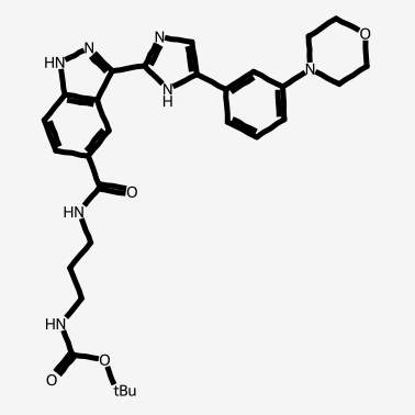 CC(C)(C)OC(=O)NCCCNC(=O)c1ccc2[nH]nc(-c3ncc(-c4cccc(N5CCOCC5)c4)[nH]3)c2c1